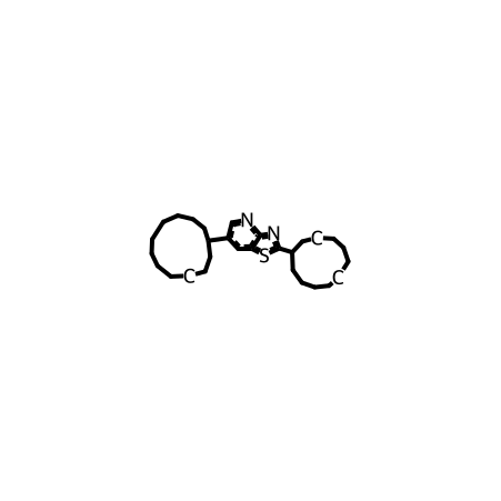 c1nc2nc(C3CCCCCCCCCC3)sc2cc1C1CCCCCCCCCCC1